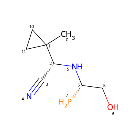 CC1([C@@H](C#N)N[C@@H](P)CO)CC1